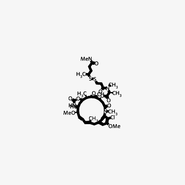 CNC(=O)CCC(C)SSCCC(=O)N(C)[C@@H](C)C(=O)O[C@H]1CC(=O)N(C)c2cc(cc(OC)c2Cl)C/C(C)=C/C=C/[C@@H](OC)[C@@]2(O)CC(OC(=O)N2)[C@@H](C)C2OC21C